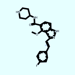 COc1c(C(=O)NC2CCNCC2)ccc2[nH]nc(/C=C/c3ccc(F)cc3)c12